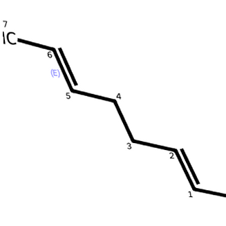 CC=CCC/C=C/C#N